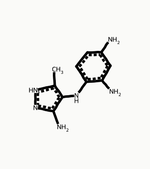 Cc1[nH]nc(N)c1Nc1ccc(N)cc1N